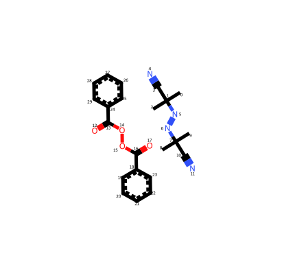 CC(C)(C#N)/N=N/C(C)(C)C#N.O=C(OOC(=O)c1ccccc1)c1ccccc1